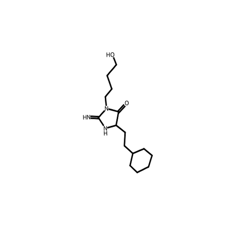 N=C1NC(CCC2CCCCC2)C(=O)N1CCCCO